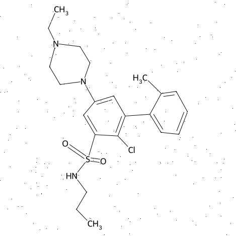 CCCNS(=O)(=O)c1cc(N2CCN(CC)CC2)cc(-c2ccccc2C)c1Cl